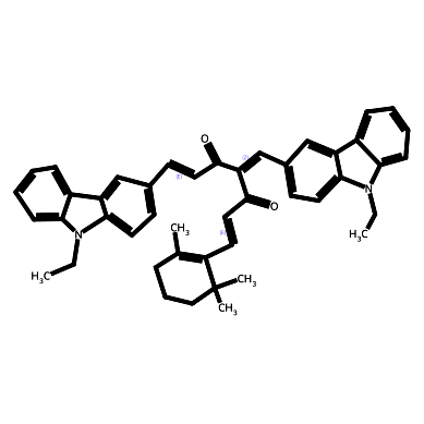 CCn1c2ccccc2c2cc(/C=C(\C(=O)/C=C/C3=C(C)CCCC3(C)C)C(=O)/C=C/c3ccc4c(c3)c3ccccc3n4CC)ccc21